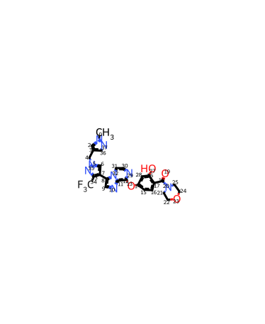 Cn1cc(Cn2cc(-c3cnc4c(Oc5ccc(C(=O)N6CCOCC6)c(O)c5)nccn34)c(C(F)(F)F)n2)cn1